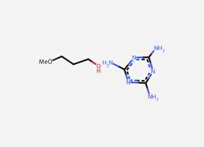 COCCCO.Nc1nc(N)nc(N)n1